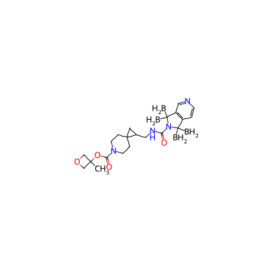 BC1(B)c2ccncc2C(B)(B)N1C(=O)NCC1CC12CCN(C(=O)OC1(C)COC1)CC2